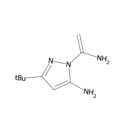 C=C(N)n1nc(C(C)(C)C)cc1N